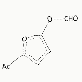 CC(=O)c1ccc(OC=O)o1